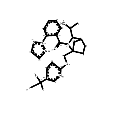 CC(O)C1C2CCC(COc3ccc(C(F)(F)F)cn3)(C2)N1C(=O)c1ccccc1-n1nccn1